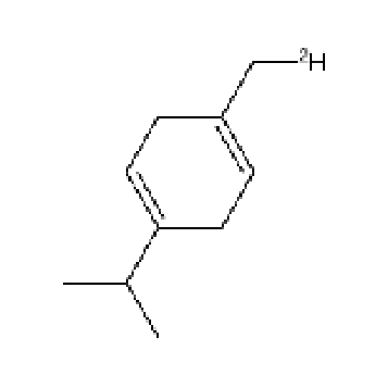 [2H]CC1=CCC(C(C)C)=CC1